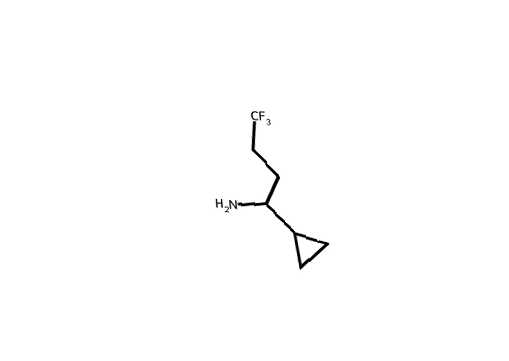 NC(CCC(F)(F)F)C1CC1